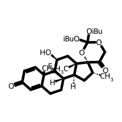 CC(C)COC1(OCC(C)C)OCC(=O)[C@@]2(O1)[C@H](C)C[C@H]1[C@@H]3CCC4=CC(=O)C=C[C@]4(C)[C@@]3(F)[C@@H](O)C[C@@]12C